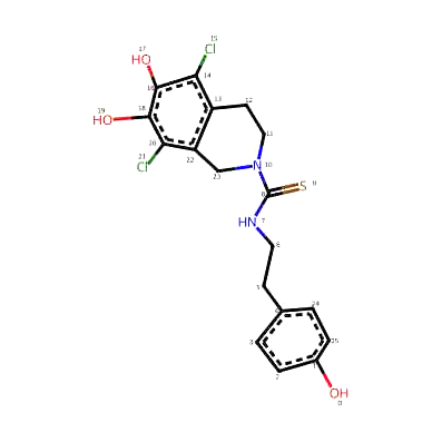 Oc1ccc(CCNC(=S)N2CCc3c(Cl)c(O)c(O)c(Cl)c3C2)cc1